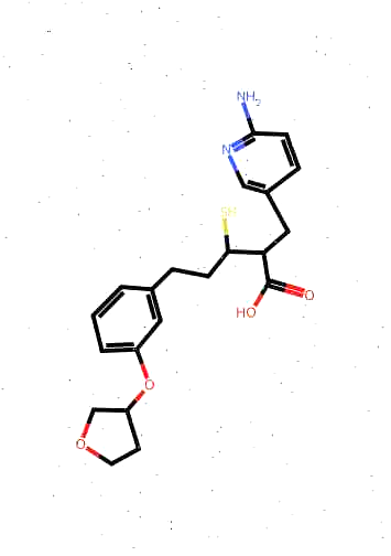 Nc1ccc(CC(C(=O)O)C(S)CCc2cccc(OC3CCOC3)c2)cn1